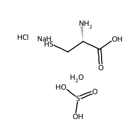 Cl.N[C@@H](CS)C(=O)O.O.O=S(O)O.[NaH]